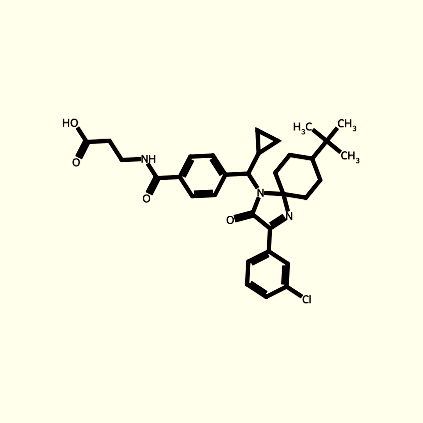 CC(C)(C)C1CCC2(CC1)N=C(c1cccc(Cl)c1)C(=O)N2C(c1ccc(C(=O)NCCC(=O)O)cc1)C1CC1